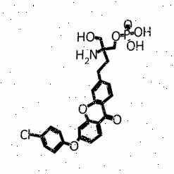 NC(CO)(CCc1ccc2c(=O)c3ccc(Oc4ccc(Cl)cc4)cc3oc2c1)COP(=O)(O)O